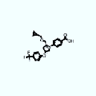 O=C(O)c1ccc(N2C[C@H](Oc3ccc(C(F)(F)F)cc3)C[C@H]2COCC2CC2)cc1